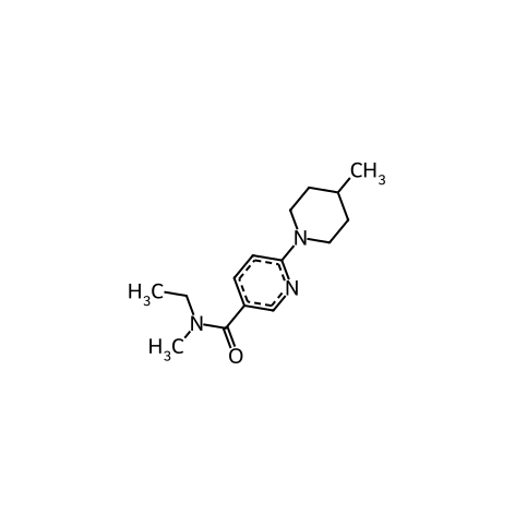 CCN(C)C(=O)c1ccc(N2CCC(C)CC2)nc1